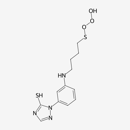 OOOSCCCCNc1cccc(-n2ncnc2S)c1